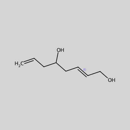 C=CCC(O)C/C=C/CO